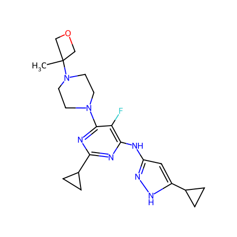 CC1(N2CCN(c3nc(C4CC4)nc(Nc4cc(C5CC5)[nH]n4)c3F)CC2)COC1